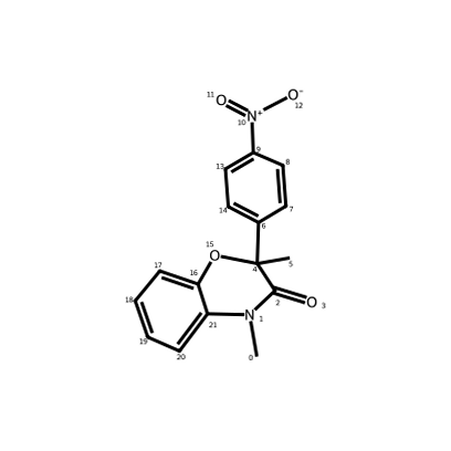 CN1C(=O)C(C)(c2ccc([N+](=O)[O-])cc2)Oc2ccccc21